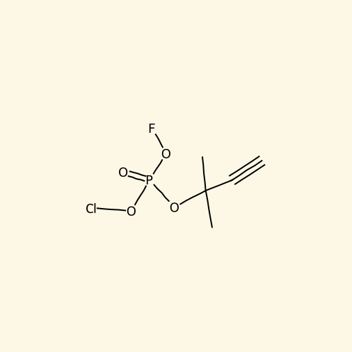 C#CC(C)(C)OP(=O)(OF)OCl